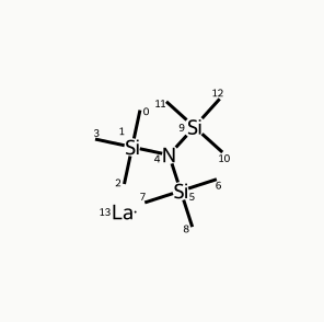 C[Si](C)(C)N([Si](C)(C)C)[Si](C)(C)C.[La]